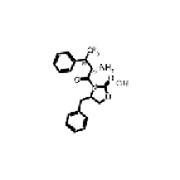 Cl.N[C@H](C(=O)N1C(=O)OCC1Cc1ccccc1)[C@@H](c1ccccc1)C(F)(F)F